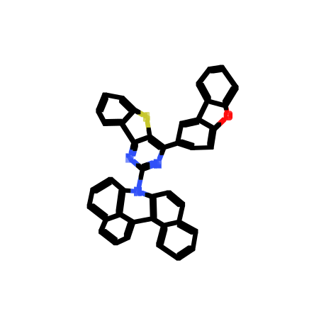 c1ccc2c3c(ccc2c1)N(c1nc(-c2ccc4oc5ccccc5c4c2)c2sc4ccccc4c2n1)c1cccc2cccc-3c12